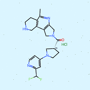 Cc1nc2c(c3c1CCNC3)CN(C(=O)[C@@H]1CCN(c3ccnc(C(F)F)c3)C1)C2.Cl